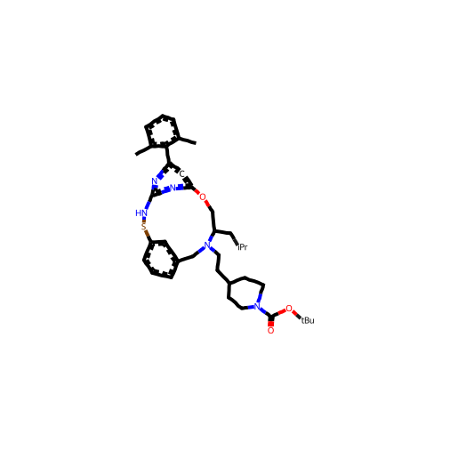 Cc1cccc(C)c1-c1cc2nc(n1)NSc1cccc(c1)CN(CCC1CCN(C(=O)OC(C)(C)C)CC1)C(CC(C)C)CO2